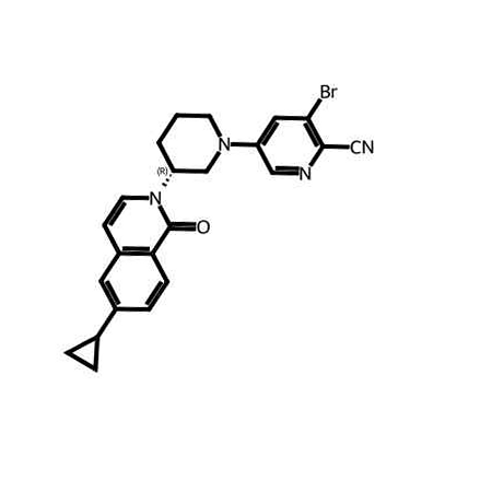 N#Cc1ncc(N2CCC[C@@H](n3ccc4cc(C5CC5)ccc4c3=O)C2)cc1Br